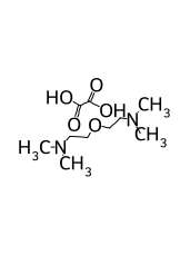 CN(C)CCOCCN(C)C.O=C(O)C(=O)O